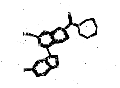 Cc1nc(-c2cnc3ccc(F)cn23)c2ccc(C(=O)N3CCCCCC3)cc2n1